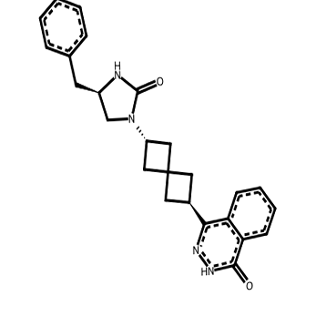 O=C1N[C@H](Cc2ccccc2)CN1[C@H]1CC2(C[C@H](c3n[nH]c(=O)c4ccccc43)C2)C1